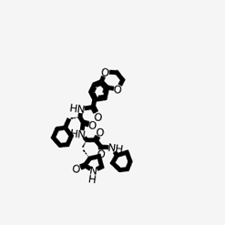 O=C(NC1CCCCC1)C(=O)[C@H](C[C@@H]1CCNC1=O)NC(=O)[C@H](CC1CCCCC1)NC(=O)c1ccc2c(c1)OCCO2